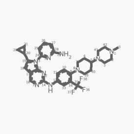 CN1CCN(C2CCN(c3ccc(Nc4ncc5cc(C6CC6)n(-c6cccc(N)n6)c5n4)cc3C(F)(F)F)CC2)CC1